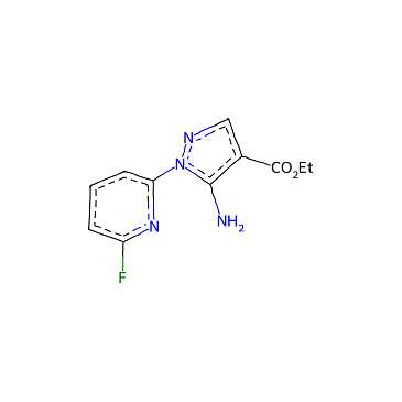 CCOC(=O)c1cnn(-c2cccc(F)n2)c1N